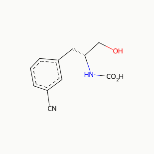 N#Cc1cccc(C[C@H](CO)NC(=O)O)c1